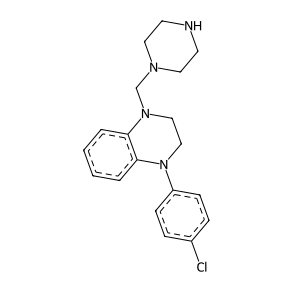 Clc1ccc(N2CCN(CN3CCNCC3)c3ccccc32)cc1